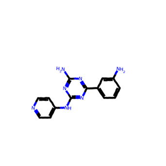 Nc1cccc(-c2nc(N)nc(Nc3ccncc3)n2)c1